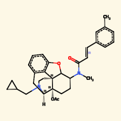 CC(=O)O[C@@]12CCC(N(C)C(=O)/C=C/c3cccc(C)c3)C3Oc4cccc5c4[C@@]31CCN(CC1CC1)[C@@H]2C5